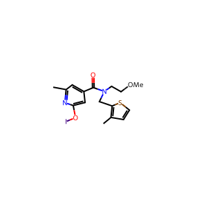 COCCN(Cc1sccc1C)C(=O)c1cc(C)nc(OI)c1